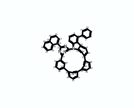 c1ccc(-c2cccc3c2c2ccc4cc2n3-c2nc(nc(-c3cccc5ccccc35)n2)-c2cccc(c2)-c2cccc(c2)-c2cccc-4c2)cc1